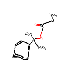 CNCC(=O)OC(c1ccccc1)([N+](=O)[O-])[N+](=O)[O-]